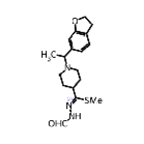 CS/C(=N\NC=O)C1CCN(C(C)c2ccc3c(c2)OCC3)CC1